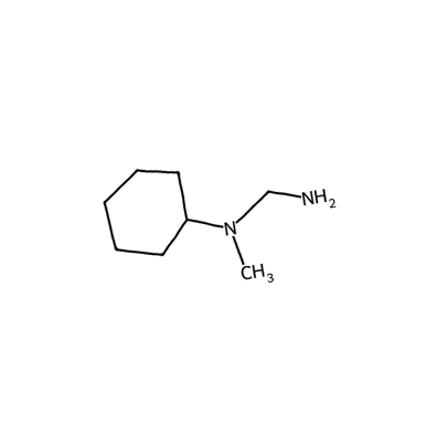 CN(CN)C1CCCCC1